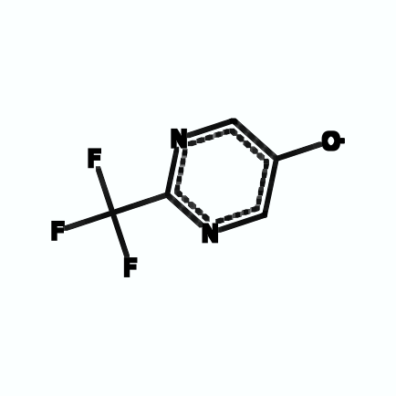 [O]c1cnc(C(F)(F)F)nc1